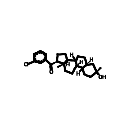 C[C@@]1(O)CC[C@H]2[C@@H](CC[C@@H]3[C@@H]2CC[C@]2(C)[C@@H](C(=O)c4cccc(Cl)c4)CC[C@@H]32)C1